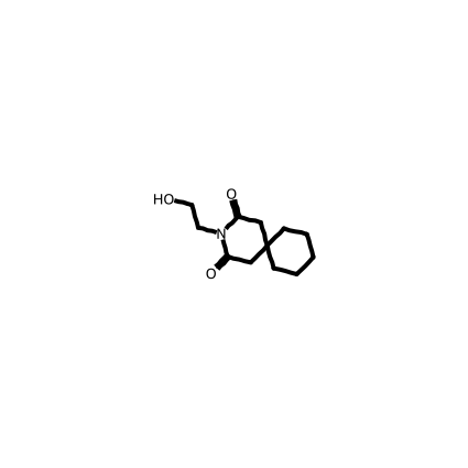 O=C1CC2(CCCCC2)CC(=O)N1CCO